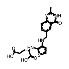 Cc1nc2ccc(CNc3ccsc3N[C@@H](CCC(=O)O)C(=O)O)cc2c(=O)[nH]1